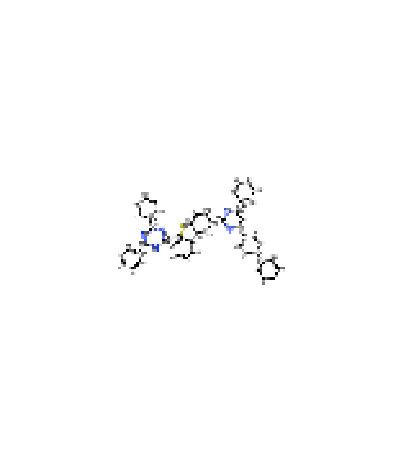 c1ccc(-c2ccc(-c3cc(-c4ccccc4)nc(-c4ccc5sc6c(-c7nc(-c8ccccc8)nc(-c8ccccc8)n7)cccc6c5c4)n3)cc2)cc1